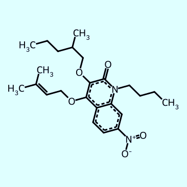 CCCCn1c(=O)c(OCC(C)CCC)c(OCC=C(C)C)c2ccc([N+](=O)[O-])cc21